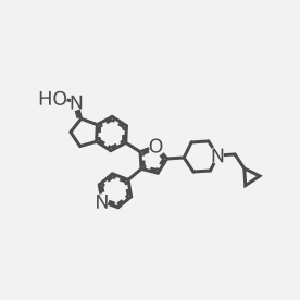 O/N=C1\CCc2cc(-c3oc(C4CCN(CC5CC5)CC4)cc3-c3ccncc3)ccc21